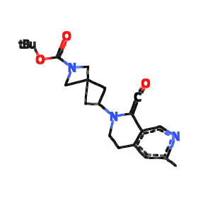 Cc1cc2c(cn1)C(=C=O)N(C1CC3(C1)CN(C(=O)OC(C)(C)C)C3)CC2